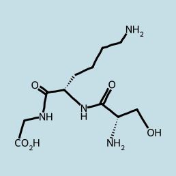 NCCCC[C@H](NC(=O)[C@@H](N)CO)C(=O)NCC(=O)O